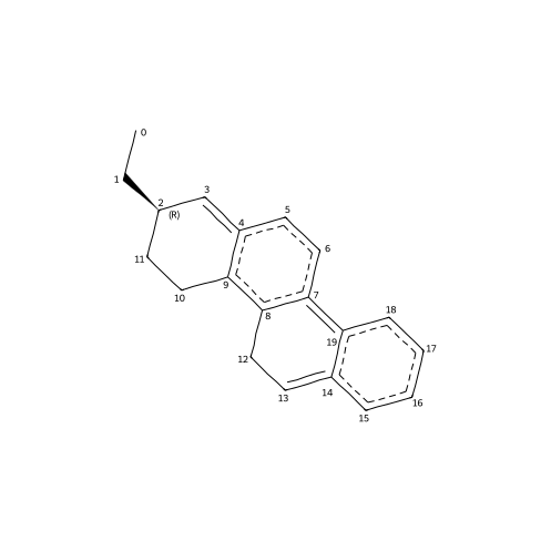 CC[C@H]1C=c2ccc3c(c2CC1)CC=c1ccccc1=3